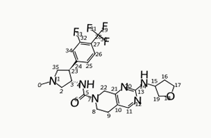 CN1C[C@@H](NC(=O)N2CCc3cnc(NC4CCOC4)nc3C2)[C@H](c2ccc(C(F)(F)F)c(F)c2)C1